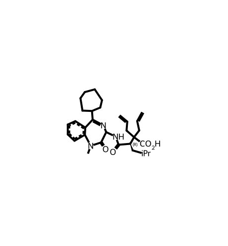 C=CCC(CC=C)(C(=O)O)[C@@H](CC(C)C)C(=O)NC1N=C(C2CCCCCC2)c2ccccc2N(C)C1=O